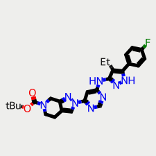 CCc1c(Nc2cc(-n3cc4c(n3)CN(C(=O)OC(C)(C)C)CC4)ncn2)n[nH]c1-c1ccc(F)cc1